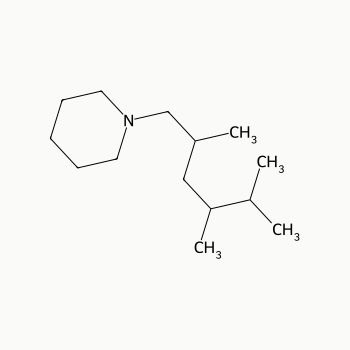 CC(CC(C)C(C)C)CN1CCCCC1